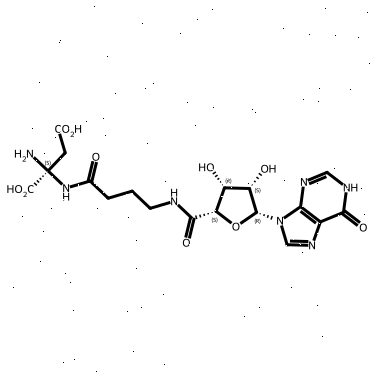 N[C@@](CC(=O)O)(NC(=O)CCCNC(=O)[C@H]1O[C@@H](n2cnc3c(=O)[nH]cnc32)[C@@H](O)[C@H]1O)C(=O)O